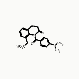 CN(C)c1ccc(C(=O)N2C(=O)CCc3cccc(CC(=O)O)c32)cc1